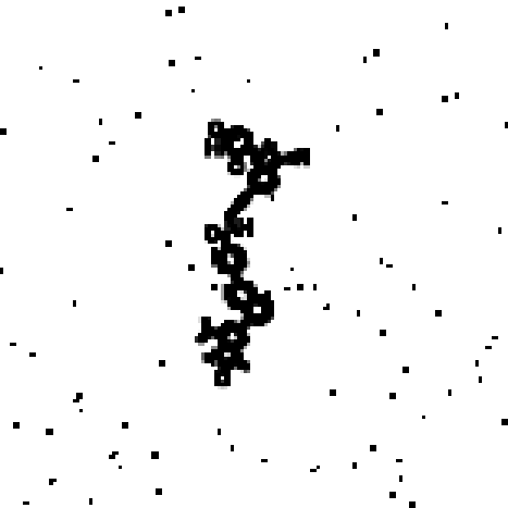 CC(C)c1cc(-c2cccc3cc(-c4ccc(C(=O)NCC#Cc5ccc6c(C#N)nn(C7CCC(=O)NC7=O)c6c5)nc4)ncc23)cc2c1n(C)c(=O)n2C